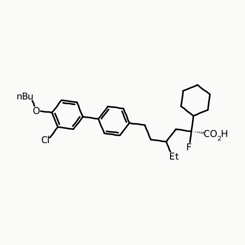 CCCCOc1ccc(-c2ccc(CCC(CC)C[C@@](F)(C(=O)O)C3CCCCC3)cc2)cc1Cl